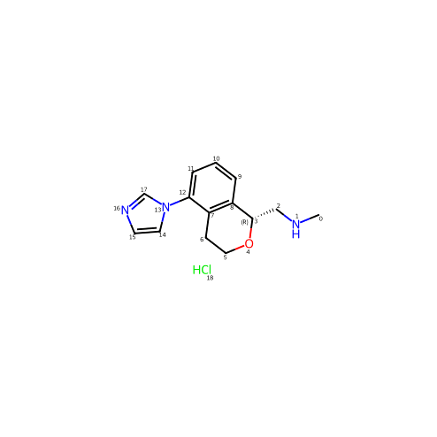 CNC[C@@H]1OCCc2c1cccc2-n1ccnc1.Cl